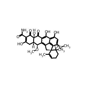 COc1cc(O)c2c(O)c3c(c4c2c1[C@@]1(C4)C(C)=CCCC1(C)C)[C@@H](OC)[C@@H]1CC(O)=C(C(N)=O)C(=O)[C@]1(O)C3=O